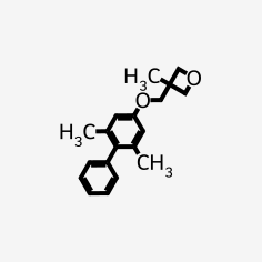 Cc1cc(OCC2(C)COC2)cc(C)c1-c1ccccc1